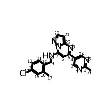 Cc1ncc(-c2cc(NCc3ccc(Cl)cc3C)n3nccc3n2)cn1